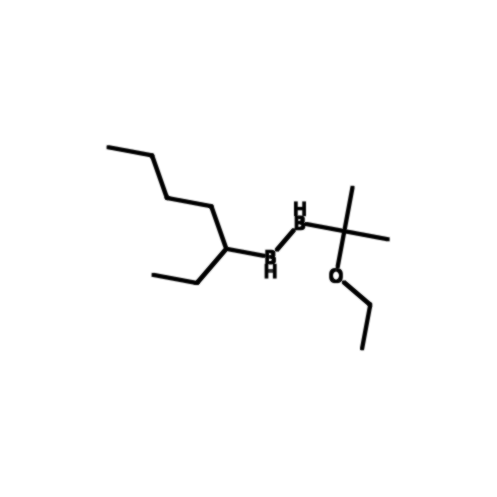 CCCCC(BBC(C)(C)OCC)CC